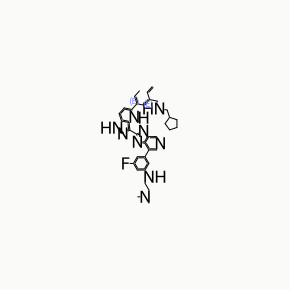 C=C/C(=C\C(=C/C)c1ccc2[nH]nc(-c3nc4c(-c5cc(F)cc(NCCN(C)C)c5)cncc4[nH]3)c2n1)CNCC1CCCC1